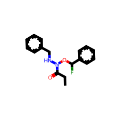 CCC(=O)N(NCc1ccccc1)OC(F)c1ccccc1